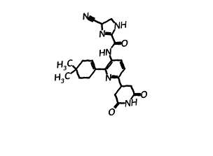 CC1(C)CC=C(c2nc(C3CC(=O)NC(=O)C3)ccc2NC(=O)C2=NC(C#N)CN2)CC1